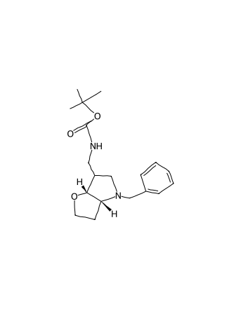 CC(C)(C)OC(=O)NCC1CN(Cc2ccccc2)[C@@H]2CCO[C@H]12